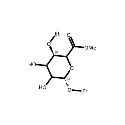 CCO[C@H]1C(C(=O)OC)O[C@H](OC(C)C)C(O)C1O